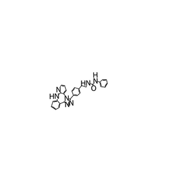 O=C(NCCc1ccc(-c2nnc3n2-c2cccnc2Nc2ccccc2-3)cc1)Nc1ccccc1